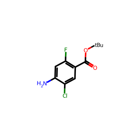 CC(C)(C)OC(=O)c1cc(Cl)c(N)cc1F